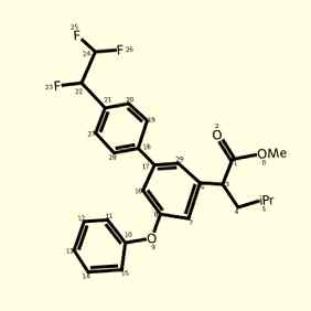 COC(=O)C(CC(C)C)c1cc(Oc2ccccc2)cc(-c2ccc(C(F)C(F)F)cc2)c1